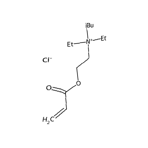 C=CC(=O)OCC[N+](CC)(CC)C(C)CC.[Cl-]